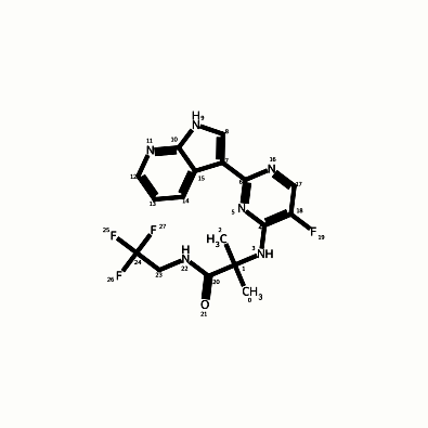 CC(C)(Nc1nc(-c2c[nH]c3ncccc23)ncc1F)C(=O)NCC(F)(F)F